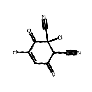 N#CC1C(=O)C=C(Cl)C(=O)C1(Cl)C#N